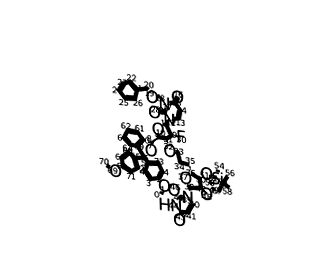 COc1ccc(C(OC[C@H]2O[C@@H](n3ccc(=O)n(COCc4ccccc4)c3=O)[C@H](F)[C@@H]2OCCC[C@H]2O[C@@H](n3ccc(=O)[nH]c3=O)[C@H](OC)[C@@H]2O[Si](C)(C)C(C)(C)C)(c2ccccc2)c2ccc(OC)cc2)cc1